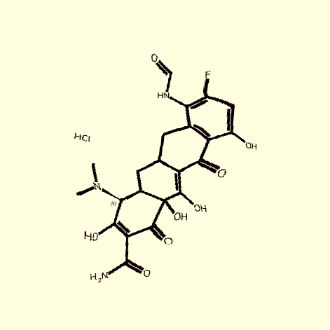 CN(C)[C@@H]1C(O)=C(C(N)=O)C(=O)C2(O)C(O)=C3C(=O)c4c(O)cc(F)c(NC=O)c4CC3CC12.Cl